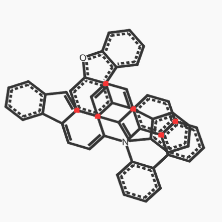 C1=CC2(C3=Cc4ccccc4C3=C1)C1=Cc3ccccc3C1=CC=C2N(c1ccccc1-c1ccccc1)c1ccccc1-c1cccc2oc3ccccc3c12